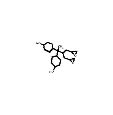 CC(C1CCC(O)CC1)(C1CCC(O)CC1)C(CC1CO1)CC1CO1